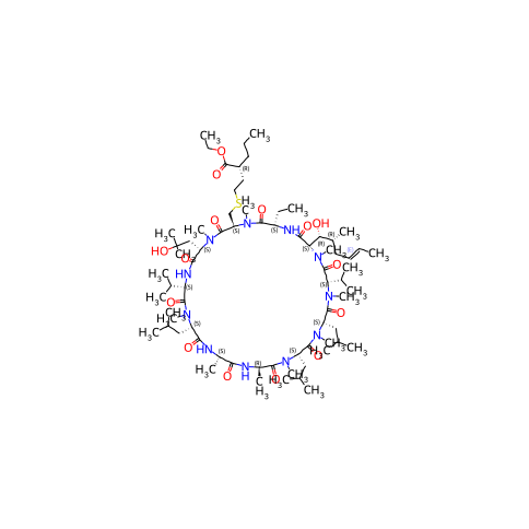 C/C=C/C[C@@H](C)[C@@H](O)[C@H]1C(=O)N[C@@H](CC)C(=O)N(C)[C@H](CSCC[C@@H](CCC)C(=O)OCC)C(=O)N(C)[C@@H](CC(C)(C)O)C(=O)N[C@@H](C(C)C)C(=O)N(C)[C@@H](CC(C)C)C(=O)N[C@@H](C)C(=O)N[C@H](C)C(=O)N(C)[C@@H](CC(C)C)C(=O)N(C)[C@@H](CC(C)C)C(=O)N(C)[C@@H](C(C)C)C(=O)N1C